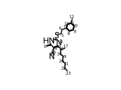 C=C1NC(SCCc2cccc(C)c2)=NC(C(C)CCCCCC)=C1C#N